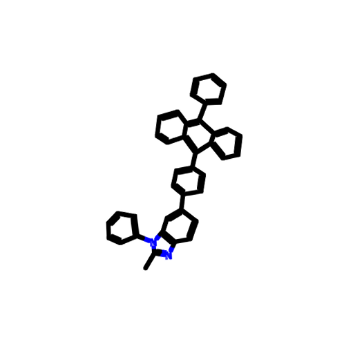 Cc1nc2ccc(-c3ccc(-c4c5ccccc5c(-c5ccccc5)c5ccccc45)cc3)cc2n1-c1ccccc1